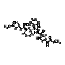 C=CC(=O)Nc1c[nH]c(C(=O)Nc2nc3cccc(Cl)c3n2[C@@H]2CCCCN(C(=O)/C=C/CN(C)C)C2)c1